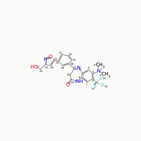 CN(C)c1cc2c(cc1C(F)(F)F)NC(=O)CC(c1cccc(-c3cc(CO)no3)c1)=N2